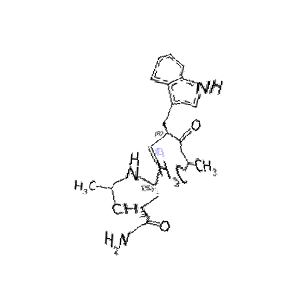 CC(C)N[C@H](/C=C/[C@@H](Cc1c[nH]c2ccccc12)C(=O)C(C)C)CCC(N)=O